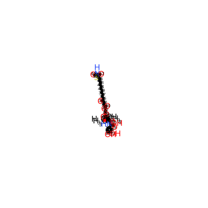 CCC(C)(C(=O)NC(C(=O)O)c1ccc(O)c(O)c1)C(C)(CC)C(=O)OCCOC(=O)CCC(=O)CCCCCCCCCC/C=C1\SC(=O)NC1=O